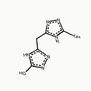 Oc1nnc(Cc2nnc(O)[nH]2)[nH]1